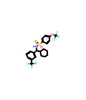 O=S(=O)(NC(c1cccc(C(F)(F)F)c1)C1CCCCC1)c1ccc(OC(F)(F)F)cc1